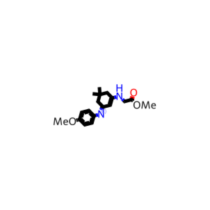 COC(=O)CNC1=C/C(=N/c2ccc(OC)cc2)CC(C)(C)C1